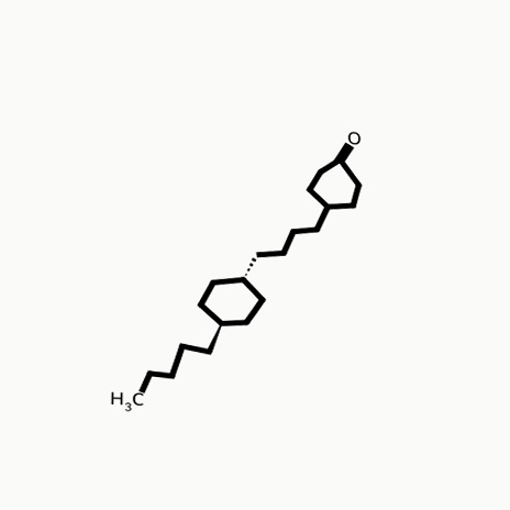 CCCCC[C@H]1CC[C@H](CCCCC2CCC(=O)CC2)CC1